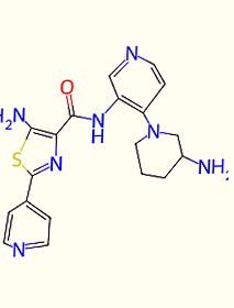 Nc1sc(-c2ccncc2)nc1C(=O)Nc1cnccc1N1CCCC(N)C1